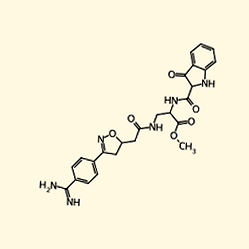 COC(=O)C(CNC(=O)CC1CC(c2ccc(C(=N)N)cc2)=NO1)NC(=O)C1Nc2ccccc2C1=O